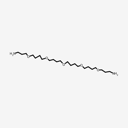 NCCCOCCCCOCCCCOCCCCOCCCCOCCCN